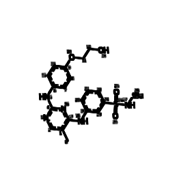 Cc1cnc(Nc2ccc(OCCO)cc2)nc1Nc1cccc(S(=O)(=O)NC(C)(C)C)c1